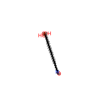 O=C=NCCCCCCCCCCCCCCCCCCCCCCCCCCCCCCCCCP(=O)(O)O